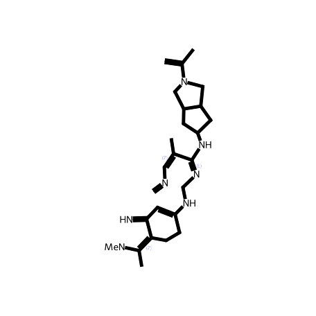 C=N/C=C(C)\C(=N/CNC1=CC(=N)/C(=C(/C)NC)CC1)NC1CC2CN(C(=C)C)CC2C1